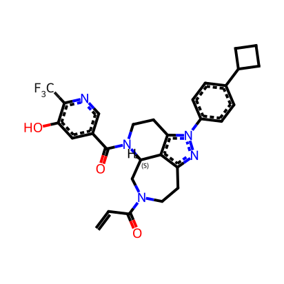 C=CC(=O)N1CCc2nn(-c3ccc(C4CCC4)cc3)c3c2[C@@H](C1)N(C(=O)c1cnc(C(F)(F)F)c(O)c1)CC3